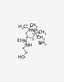 CCN(NCCO)C1CC(C)(C)NC(C)(C)C1.N